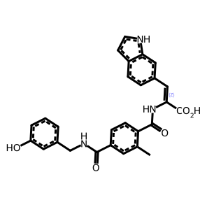 Cc1cc(C(=O)NCc2cccc(O)c2)ccc1C(=O)N/C(=C\c1ccc2cc[nH]c2c1)C(=O)O